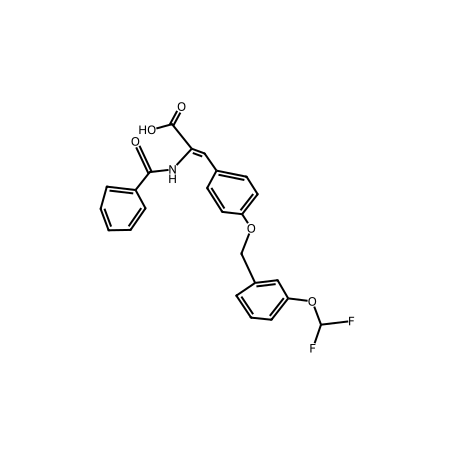 O=C(O)/C(=C/c1ccc(OCc2cccc(OC(F)F)c2)cc1)NC(=O)c1ccccc1